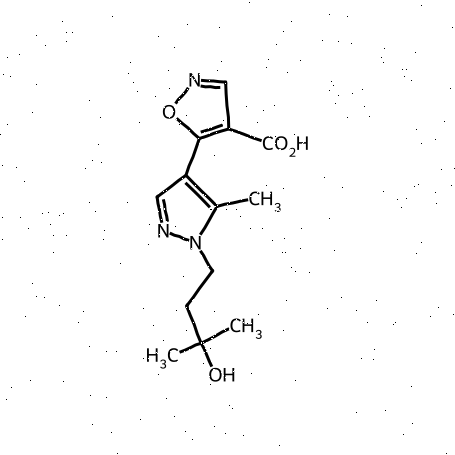 Cc1c(-c2oncc2C(=O)O)cnn1CCC(C)(C)O